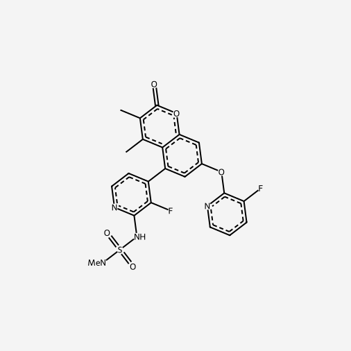 CNS(=O)(=O)Nc1nccc(-c2cc(Oc3ncccc3F)cc3oc(=O)c(C)c(C)c23)c1F